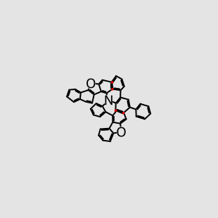 c1ccc(-c2ccc(N(c3ccccc3-c3cccc4oc5ccccc5c34)c3cccc4oc5c6ccccc6ccc5c34)c(-c3ccccc3)c2)cc1